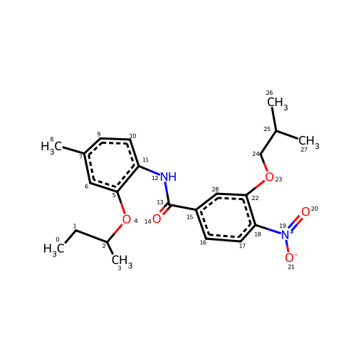 CCC(C)Oc1cc(C)ccc1NC(=O)c1ccc([N+](=O)[O-])c(OCC(C)C)c1